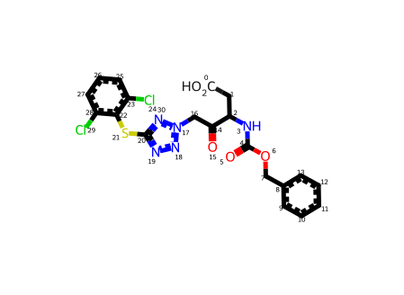 O=C(O)CC(NC(=O)OCc1ccccc1)C(=O)Cn1nnc(Sc2c(Cl)cccc2Cl)n1